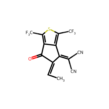 C/C=C1/C(=O)c2c(C(F)(F)F)sc(C(F)(F)F)c2C1=C(C#N)C#N